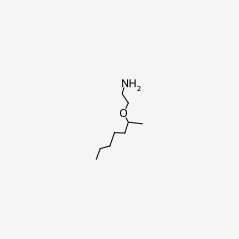 CCCCCC(C)OCCN